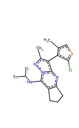 CCC(CC)Nc1c2c(nc3c(-c4c(C)csc4Cl)c(C)nn13)CCC2